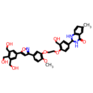 COc1ccc(-c2cc(-c3cc(CO)c(CO)c(CO)c3)on2)cc1OCCOc1ccc(C2NC(=O)c3cc(C)ccc3N2)cc1CO